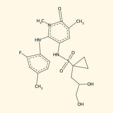 Cc1ccc(Nc2c(NS(=O)(=O)C3(CC(O)CO)CC3)cc(C)c(=O)n2C)c(F)c1